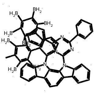 Bc1c(B)c(B)c(-c2cccc(-n3c4ccccc4c4ccc5c6ccccc6n(-c6nc(-c7ccccc7)nc(-c7ccccc7)n6)c5c43)c2-c2c(B)c(B)c(C)c(B)c2C)c(B)c1B